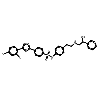 O=S(=O)(Nc1ccc(CCNCC(O)c2cccnc2)cc1)c1ccc(-c2nc(-c3ccc(Cl)cc3Cl)cs2)cc1